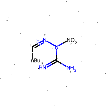 CCCC/C=N\N(C(=N)N)[N+](=O)[O-]